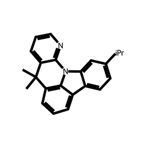 CC(C)c1ccc2c3cccc4c3n(c2c1)-c1ncccc1C4(C)C